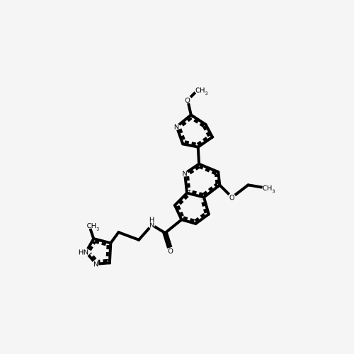 CCOc1cc(-c2ccc(OC)nc2)nc2cc(C(=O)NCCc3cn[nH]c3C)ccc12